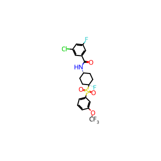 O=C(N[C@H]1CC[C@](F)(S(=O)(=O)c2cccc(OC(F)(F)F)c2)CC1)c1cc(F)cc(Cl)c1